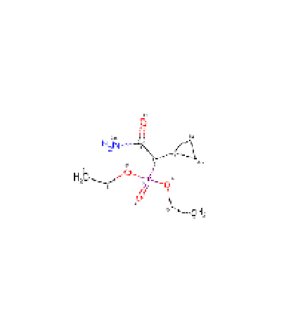 CCOP(=O)(OCC)C(C(N)=O)C1CC1